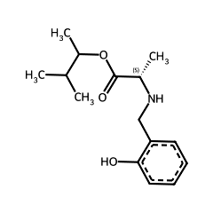 CC(C)C(C)OC(=O)[C@H](C)NCc1ccccc1O